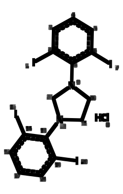 Cl.Ic1cccc(I)c1N1CCN(c2c(I)cccc2I)C1